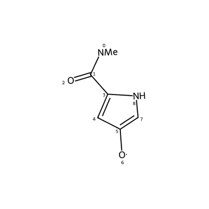 CNC(=O)c1cc([O])c[nH]1